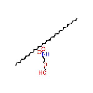 CCCCCCCCCCCCCCCCCC(CCCCCCCCCCCC)OC(=O)NCCCOCCO